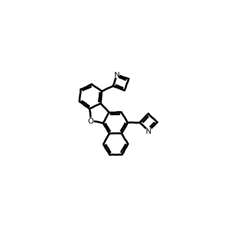 C1=NC(c2cc3c(oc4cccc(C5=CC=N5)c43)c3ccccc23)=C1